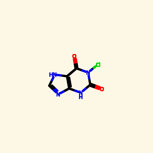 O=c1[nH]c2nc[nH]c2c(=O)n1Cl